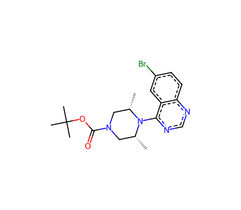 C[C@@H]1CN(C(=O)OC(C)(C)C)C[C@H](C)N1c1ncnc2ccc(Br)cc12